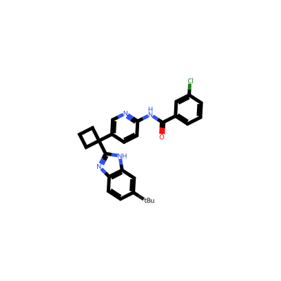 CC(C)(C)c1ccc2nc(C3(c4ccc(NC(=O)c5cccc(Cl)c5)nc4)CCC3)[nH]c2c1